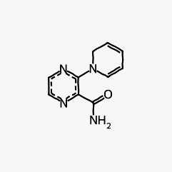 NC(=O)c1nccnc1N1C=CC=CC1